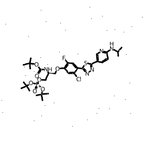 CC(C)Nc1ccc(-c2nnc(-c3cc(F)c(OC[C@@H](COP(=O)(OC(C)(C)C)OC(C)(C)C)NC(=O)OC(C)(C)C)cc3Cl)s2)cn1